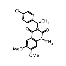 COc1cc2c(=O)n([C@H](C)c3ccc(Cl)cc3)c(=O)n(C)c2cc1OC